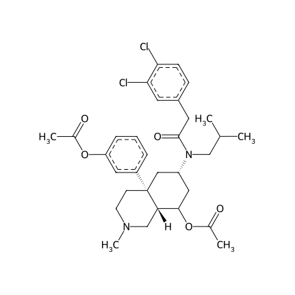 CC(=O)Oc1cccc([C@@]23CCN(C)C[C@H]2C(OC(C)=O)C[C@@H](N(CC(C)C)C(=O)Cc2ccc(Cl)c(Cl)c2)C3)c1